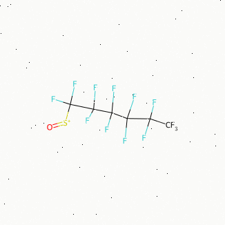 O=[S+]C(F)(F)C(F)(F)C(F)(F)C(F)(F)C(F)(F)C(F)(F)F